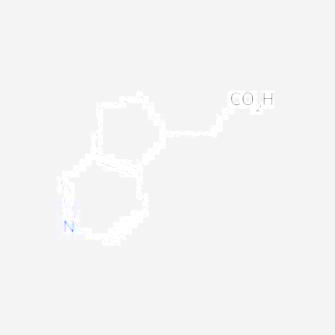 O=C(O)CC1CCc2cnccc21